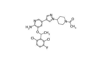 CC(=O)N1CCC(n2cc(-c3cnc(N)c(OC(C)c4c(Cl)ccc(F)c4Cl)c3)cn2)CC1